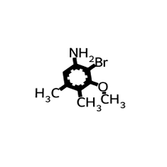 COc1c(C)c(C)cc(N)c1Br